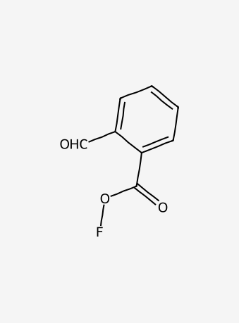 O=Cc1ccccc1C(=O)OF